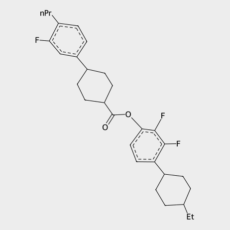 CCCc1ccc(C2CCC(C(=O)Oc3ccc(C4CCC(CC)CC4)c(F)c3F)CC2)cc1F